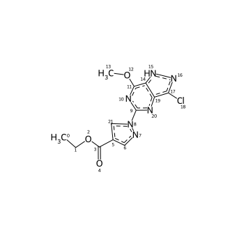 CCOC(=O)c1cnn(-c2nc(OC)c3[nH]nc(Cl)c3n2)c1